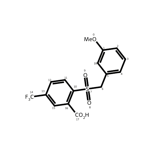 COc1cccc(CS(=O)(=O)c2ccc(C(F)(F)F)cc2C(=O)O)c1